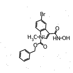 C[N+]1(C(=O)OCc2ccccc2)C=C(C(=O)NO)c2cc(Br)ccc21